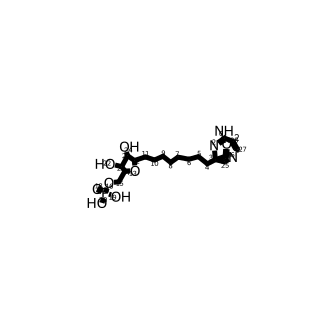 NC1=NC2(CCCCCCCCC3OC(COP(=O)(O)O)C(O)C3O)CN(C=C1)C2=O